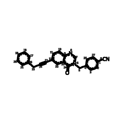 N#Cc1ccc(Cn2cnc3ccc(C#CCc4ccccc4)cc3c2=O)cc1